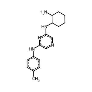 Cc1ccc(Nc2cncc(NC3CCCCC3N)n2)cc1